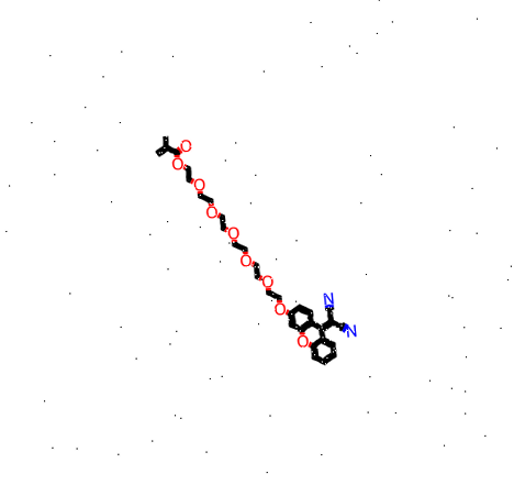 C=C(C)C(=O)OCCOCCOCCOCCOCCOCCOc1ccc2c(c1)Oc1ccccc1C2=C(C#N)C#N